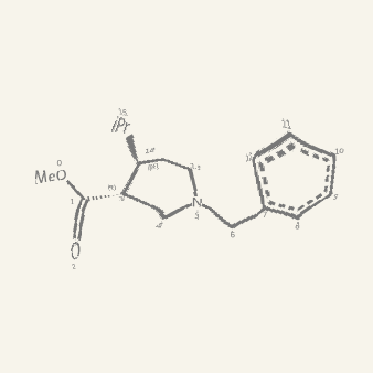 COC(=O)[C@H]1CN(Cc2ccccc2)C[C@@H]1C(C)C